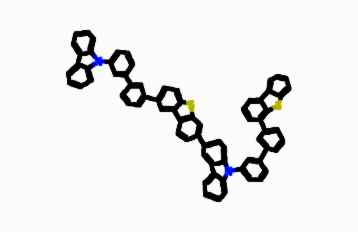 c1cc(-c2cccc(-n3c4ccccc4c4ccccc43)c2)cc(-c2ccc3sc4cc(-c5ccc6c(c5)c5ccccc5n6-c5cccc(-c6cccc(-c7cccc8c7sc7ccccc78)c6)c5)ccc4c3c2)c1